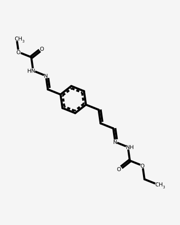 CCOC(=O)N/N=C/C=C/c1ccc(/C=N/NC(=O)OC)cc1